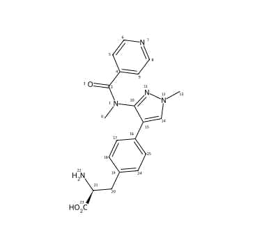 CN(C(=O)c1ccncc1)c1nn(C)cc1-c1ccc(C[C@H](N)C(=O)O)cc1